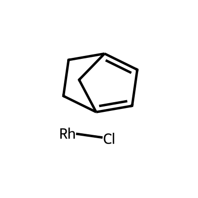 C1=C2CCC(=C1)C2.[Cl][Rh]